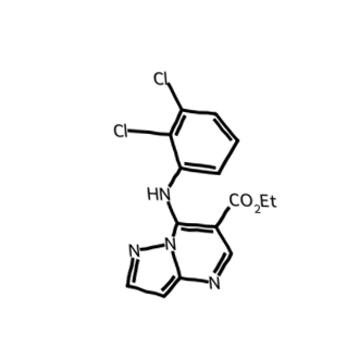 CCOC(=O)c1cnc2ccnn2c1Nc1cccc(Cl)c1Cl